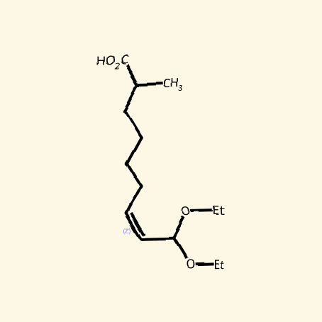 CCOC(/C=C\CCCCC(C)C(=O)O)OCC